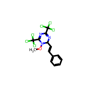 CON1C(C(Cl)(Cl)Cl)=NC(C(Cl)(Cl)Cl)=NC1C=Cc1ccccc1